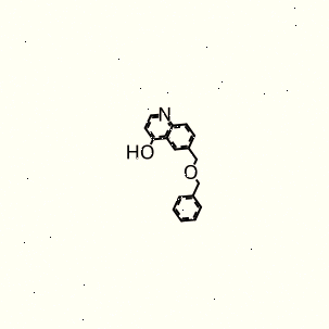 Oc1ccnc2ccc(COCc3ccccc3)cc12